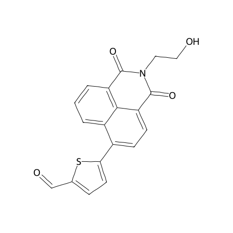 O=Cc1ccc(-c2ccc3c4c(cccc24)C(=O)N(CCO)C3=O)s1